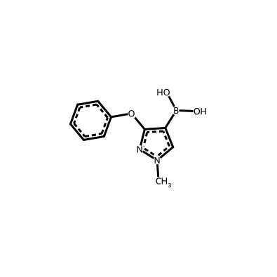 Cn1cc(B(O)O)c(Oc2ccccc2)n1